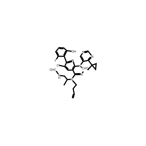 C=CCCN(/C(=N/C)c1cc(Cl)c(-c2c(O)cccc2F)nc1N(C=O)c1cncnc1C1(C)CC1)C(C)CNC=O